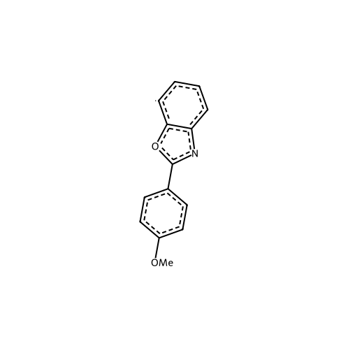 COc1ccc(-c2nc3ccc[c]c3o2)cc1